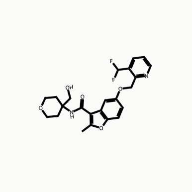 Cc1oc2ccc(OCc3ncccc3C(F)F)cc2c1C(=O)NC1(CO)CCOCC1